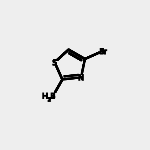 Bc1nc(Br)cs1